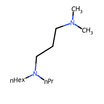 CCCCCCN(CCC)CCCN(C)C